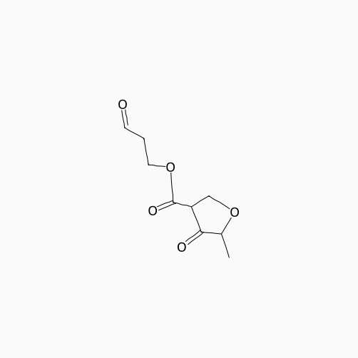 CC1OCC(C(=O)OCCC=O)C1=O